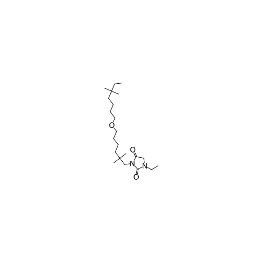 CCN1CC(=O)N(CC(C)(C)CCCCOCCCCC(C)(C)CC)C1=O